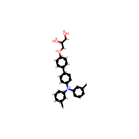 Cc1cccc(N(c2ccc(-c3ccc(OCC(O)CO)cc3)cc2)c2cccc(C)c2)c1